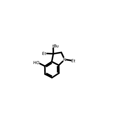 CCN1CC(CC)(C(C)(C)C)c2c(O)cccc21